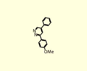 COc1ccc(-c2cc(-c3ccccc3)cnn2)cc1